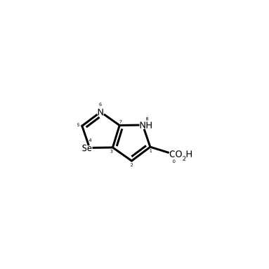 O=C(O)c1cc2[se]cnc2[nH]1